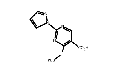 CCCCOc1nc(-n2cccn2)ncc1C(=O)O